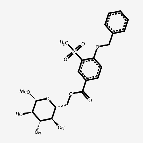 CO[C@@H]1O[C@H](COC(=O)c2ccc(OCc3ccccc3)c(S(C)(=O)=O)c2)[C@@H](O)[C@H](O)[C@H]1O